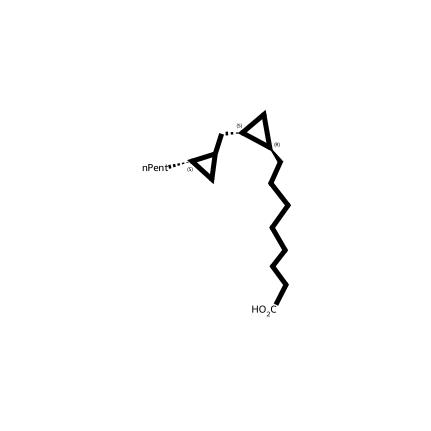 CCCCC[C@H]1CC1C[C@@H]1C[C@H]1CCCCCCCC(=O)O